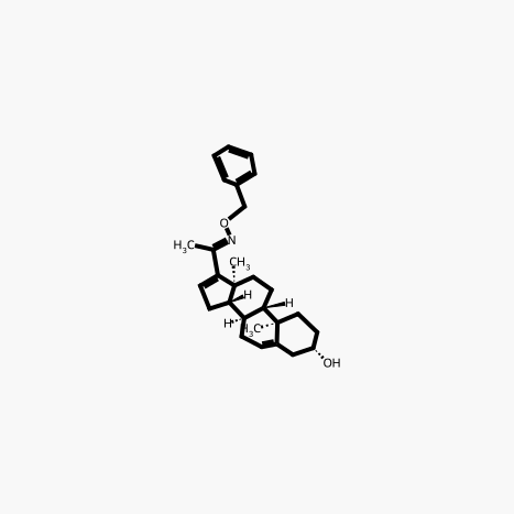 CC(=NOCc1ccccc1)C1=CC[C@H]2[C@@H]3CC=C4C[C@@H](O)CC[C@]4(C)[C@H]3CC[C@]12C